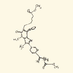 COC(=O)CCCCn1c(=O)c2nc(-c3ccc(C(=N)NC(=O)OC)cc3)n(C)c2n(C)c1=O